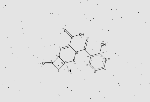 O=C(O)C1=CN2C(=O)C[C@@H]2SC1C(=S)c1cccnc1O